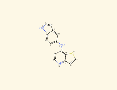 c1cc(Nc2ccc3[nH]ccc3c2)c2sccc2n1